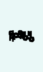 Cn1c(=O)n(Cc2ccc(Cl)c(C(F)(F)F)c2)c2ccc(-c3ccccc3C#N)cc21